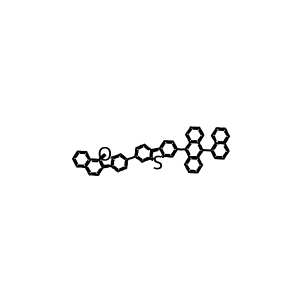 c1ccc2c(-c3c4ccccc4c(-c4ccc5c(c4)sc4cc(-c6ccc7c(c6)oc6c8ccccc8ccc76)ccc45)c4ccccc34)cccc2c1